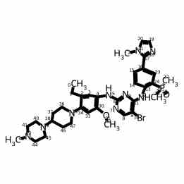 CCc1cc(Nc2ncc(Br)c(Nc3ccc(-c4nccn4C)cc3P(C)(C)=O)n2)c(OC)cc1N1CCC(N2CCN(C)CC2)CC1